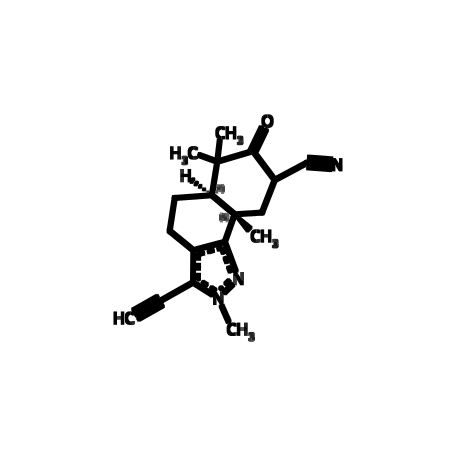 C#Cc1c2c(nn1C)[C@@]1(C)CC(C#N)C(=O)C(C)(C)[C@@H]1CC2